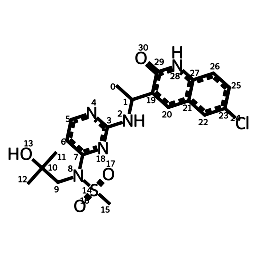 CC(Nc1nccc(N(CC(C)(C)O)S(C)(=O)=O)n1)c1cc2cc(Cl)ccc2[nH]c1=O